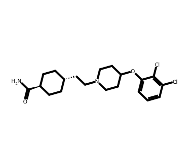 NC(=O)[C@H]1CC[C@H](CCN2CCC(Oc3cccc(Cl)c3Cl)CC2)CC1